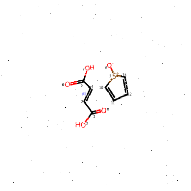 O=C(O)/C=C/C(=O)O.[O-][s+]1cccc1